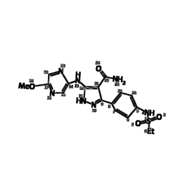 CCS(=O)(=O)Nc1ccc(-c2n[nH]c(Nc3cnc(OC)cn3)c2C(N)=O)cc1